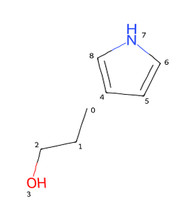 CCCO.c1cc[nH]c1